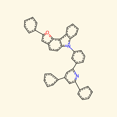 c1ccc(-c2cc(-c3ccccc3)nc(-c3cccc(-n4c5ccccc5c5c6oc(-c7ccccc7)cc6ccc54)c3)c2)cc1